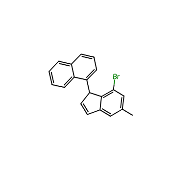 Cc1cc(Br)c2c(c1)C=CC2c1cccc2ccccc12